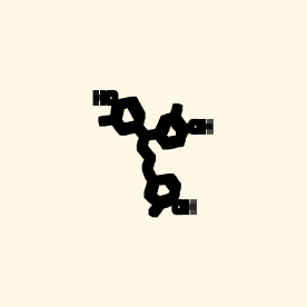 Cc1cc(CCCC(c2ccc(O)c(C)c2)c2ccc(O)c(C)c2)ccc1O